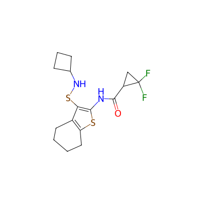 O=C(Nc1sc2c(c1SNC1CCC1)CCCC2)C1CC1(F)F